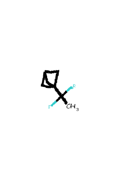 CC(F)(F)C12CC(C1)C2